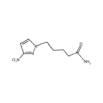 NC(=O)CCCCn1ccc([N+](=O)[O-])n1